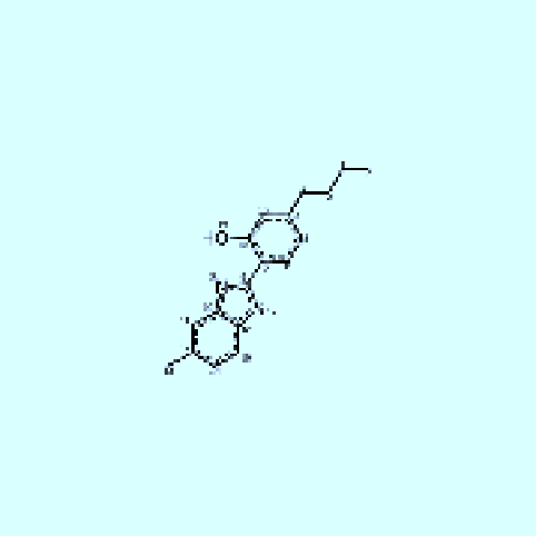 CCCCc1ccc(-c2nc3cc(C)ccc3s2)c(O)c1